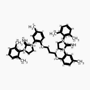 Cc1ccc(OCCCOc2ccc(C)cc2N2CCN(c3c(C)cccc3C)C2=N)c(N2CCN(c3c(C)cccc3C)C2=N)c1